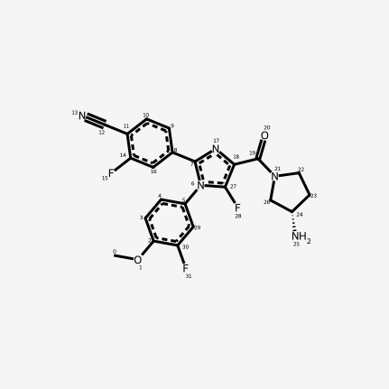 COc1ccc(-n2c(-c3ccc(C#N)c(F)c3)nc(C(=O)N3CC[C@H](N)C3)c2F)cc1F